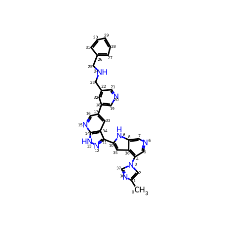 Cc1cn(-c2cncc3[nH]c(-c4n[nH]c5ncc(-c6cncc(CNCc7ccccc7)c6)cc45)cc23)cn1